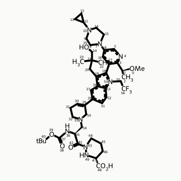 CO[C@@H](C)c1ncc(N2CCN(C3CC3)CC2)cc1-c1c(CC(C)(C)CO)c2cc(C3=CCCN(C[C@H](NC(=O)OC(C)(C)C)C(=O)N4CCC[C@@H](C(=O)O)N4)C3)ccc2n1CC(F)(F)F